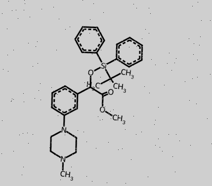 COC(=O)C(O[Si](c1ccccc1)(c1ccccc1)C(C)(C)C)c1cccc(N2CCN(C)CC2)c1